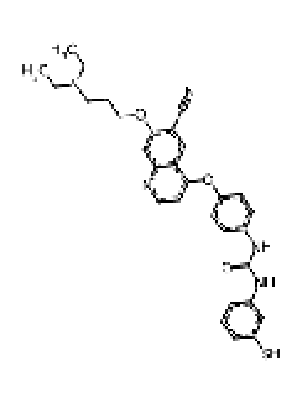 CCN(CC)CCCOc1cc2nccc(Oc3ccc(NC(=O)Nc4cccc(S)c4)cc3)c2cc1C#N